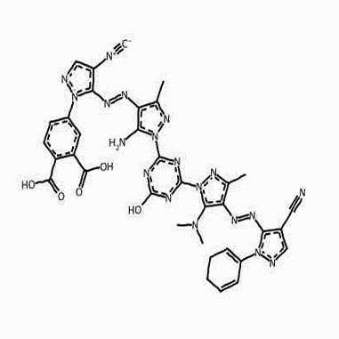 [C-]#[N+]c1cnn(-c2ccc(C(=O)O)c(C(=O)O)c2)c1/N=N/c1c(C)nn(-c2nc(O)nc(-n3nc(C)c(/N=N/c4c(C#N)cnn4C4=CCCC=C4)c3N(C)C)n2)c1N